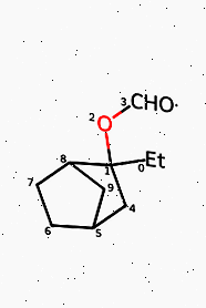 CCC1(O[C]=O)CC2CCC1C2